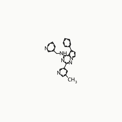 Cc1cncc(-c2nc(NCc3cccnc3)c3c(-c4ccccc4)ccn3n2)c1